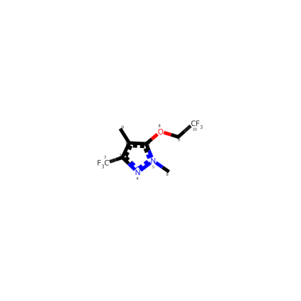 Cc1c(C(F)(F)F)nn(C)c1OCC(F)(F)F